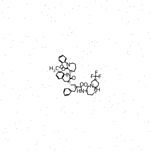 COc1ccccc1N1CCCC[C@H](NC(=O)[C@H](CC[C@H](Cc2ccccc2)C(=O)N[C@H]2CCS[C@H]3CC[C@H](C(F)(F)F)CN3C2=O)Cc2ccccc2)C1=O